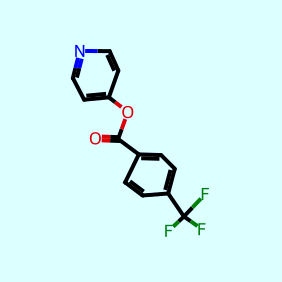 O=C(Oc1ccncc1)c1ccc(C(F)(F)F)cc1